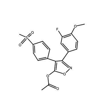 COc1ccc(-c2noc(OC(C)=O)c2-c2ccc(S(C)(=O)=O)cc2)cc1F